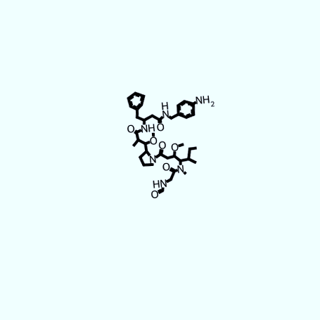 CCC(C)C(C(CC(=O)N1CCCC1C(OC)C(C)C(=O)NC(CC(=O)NCc1ccc(N)cc1)Cc1ccccc1)OC)N(C)C(=O)CNC=O